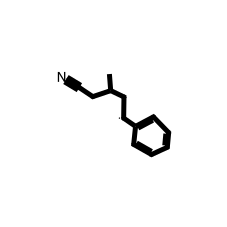 CC(CC#N)C[CH]c1ccccc1